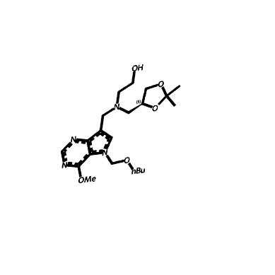 CCCCOCn1cc(CN(CCO)C[C@H]2COC(C)(C)O2)c2ncnc(OC)c21